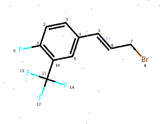 Fc1ccc(/C=C/CBr)cc1C(F)(F)F